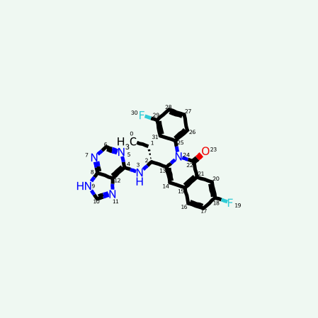 CC[C@@H](Nc1ncnc2[nH]cnc12)c1cc2ccc(F)cc2c(=O)n1-c1cccc(F)c1